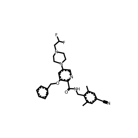 Cc1cc(C#N)cc(C)c1CNC(=O)c1ncc(N2CCN(CC(F)F)CC2)cc1OCc1ccccc1